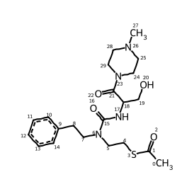 CC(=O)SCCN(CCc1ccccc1)C(=O)NC(CO)C(=O)N1CCN(C)CC1